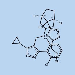 OCCc1csc(C2(O)[C@@H]3CC[C@H]2CC(OCc2c(-c4c(Cl)cccc4Cl)noc2C2CC2)C3)n1